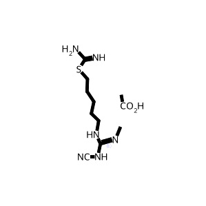 C/N=C(/NC#N)NCCCCCSC(=N)N.CC(=O)O